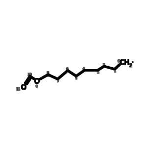 [CH2]CCCCCCC[CH]OC=O